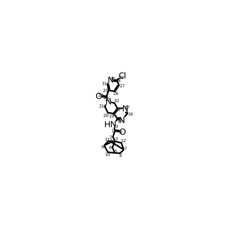 O=C(CC12CC3CC(CC(C3)C1)C2)Nc1ncnc2c1CCN(C(=O)c1ccc(Cl)nc1)C2